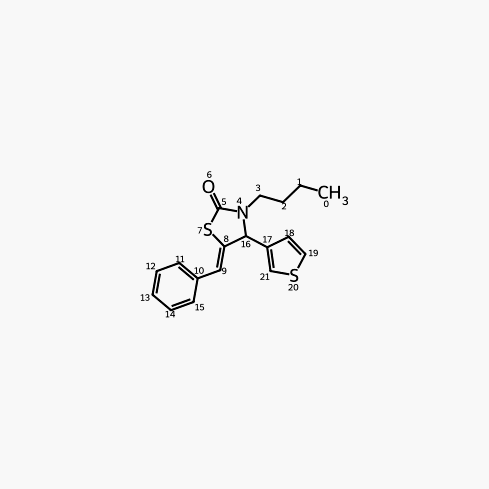 CCCCN1C(=O)S/C(=C\c2ccccc2)C1c1ccsc1